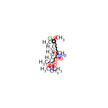 COc1cc(C/C(C)=C/C=C/[C@@H](OC)[C@@]2(C)CC([C@@H](C)C3OC3[C@H](CC(C)=O)OC(=O)[C@H](C)N(C)C(C)=O)OC(=O)N2)cc(C)c1Cl